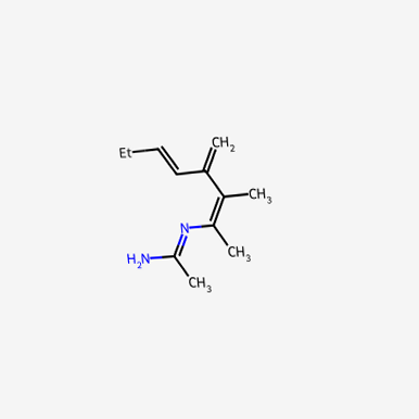 C=C(C=CCC)/C(C)=C(C)\N=C(/C)N